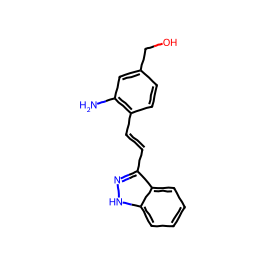 Nc1cc(CO)ccc1C=Cc1n[nH]c2ccccc12